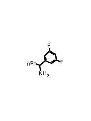 CCCC(N)c1cc(F)cc(F)c1